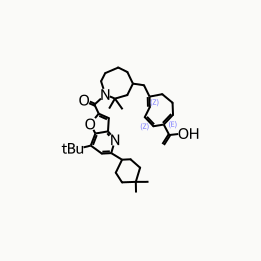 C=C(O)C1=C/CC/C(CC2CCCCN(C(=O)c3cc4nc(C5CCC(C)(C)CC5)cc(C(C)(C)C)c4o3)C(C)(C)C2)=C/C=C\1